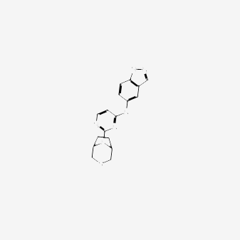 c1cc(Nc2ccc3[nH]ncc3c2)nc(N2C3CCC2CNC3)n1